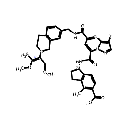 COC/C(=C(/N)OC)N1CCc2ccc(CNC(=O)c3cc(C(=O)N[C@H]4CCc5c4ccc(C(=O)O)c5C)n4ncc(F)c4n3)cc2C1